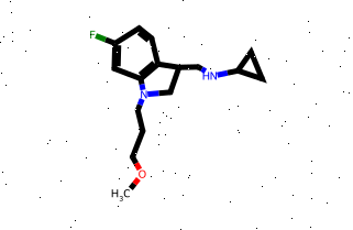 COCCCN1CC(CNC2CC2)c2ccc(F)cc21